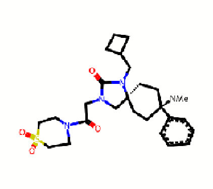 CN[C@]1(c2ccccc2)CC[C@]2(CC1)CN(CC(=O)N1CCS(=O)(=O)CC1)C(=O)N2CC1CCC1